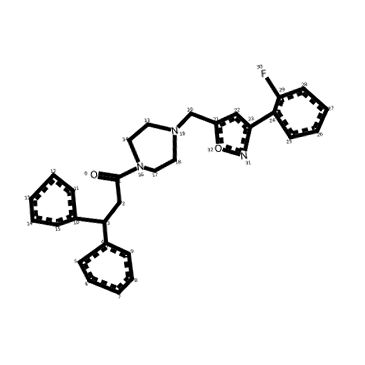 O=C(CC(c1ccccc1)c1ccccc1)N1CCN(Cc2cc(-c3ccccc3F)no2)CC1